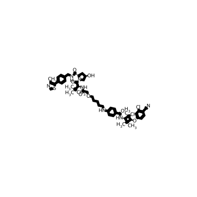 Cc1ncsc1-c1ccc(CNC(=O)[C@@H]2C[C@@H](O)CN2C(=O)[C@@H](NC(=O)COCCCCCNc2ccc(C(=O)N[C@H]3C(C)(C)[C@H](Oc4ccc(C#N)c(Cl)c4)C3(C)C)cc2)C(C)(C)C)cc1